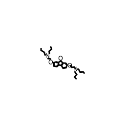 CCCCN(CCCC)CCOc1ccc2c(c1)C(=O)c1cc(OCCN(CCCC)CCCC)ccc1-2